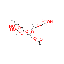 CCC(O)COCC(COC(COCC(O)CC)OC(C)CO)OCC(C)COCC(O)CO